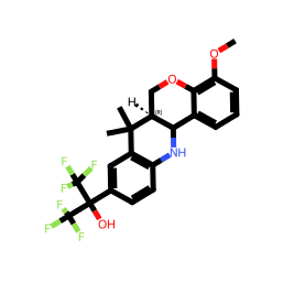 COc1cccc2c1OC[C@H]1C2Nc2ccc(C(O)(C(F)(F)F)C(F)(F)F)cc2C1(C)C